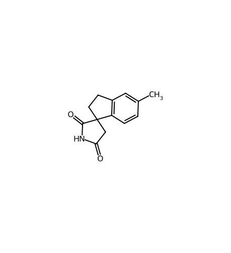 Cc1ccc2c(c1)CCC21CC(=O)NC1=O